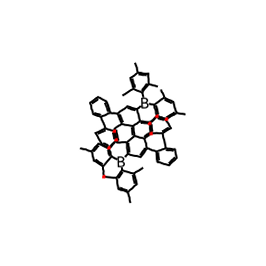 Cc1cc(C)c(B(c2c(C)cc(C)cc2C)c2cc(-c3ccccc3-c3ccccc3)c3ccc4c(B(c5c(C)cc(C)cc5C)c5c(C)cc(C)cc5C)cc(-c5ccccc5-c5ccccc5)c5ccc2c3c45)c(C)c1